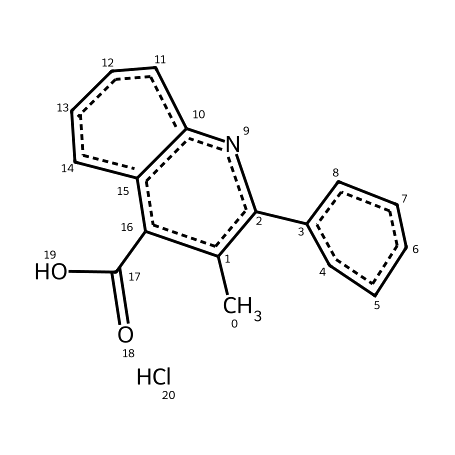 Cc1c(-c2ccccc2)nc2ccccc2c1C(=O)O.Cl